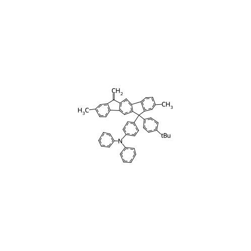 C=C1c2cc(C)ccc2-c2cc3c(cc21)-c1ccc(C)cc1C3(c1ccc(N(c2ccccc2)c2ccccc2)cc1)c1ccc(C(C)(C)C)cc1